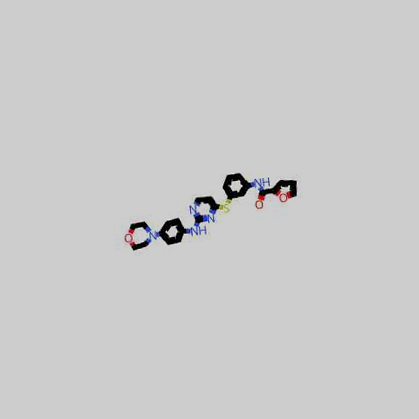 O=C(Nc1cccc(Sc2ccnc(Nc3ccc(N4CCOCC4)cc3)n2)c1)c1ccco1